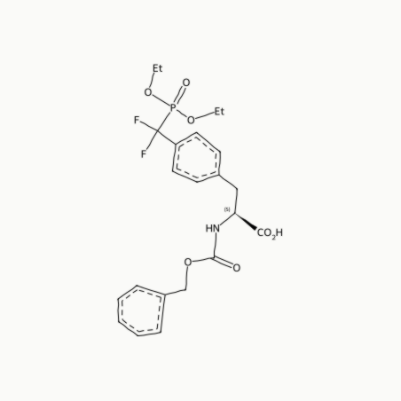 CCOP(=O)(OCC)C(F)(F)c1ccc(C[C@H](NC(=O)OCc2ccccc2)C(=O)O)cc1